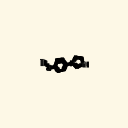 CCOc1ccc(N2CCNC2)cc1